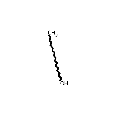 CCCCCCCCCCCCCC/C=C/C=C/C=C/O